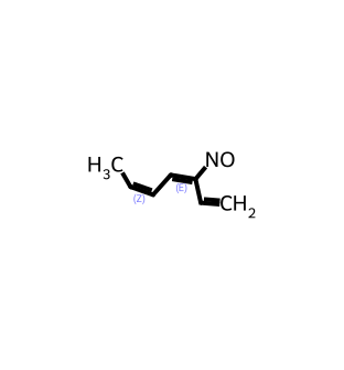 C=C/C(=C\C=C/C)N=O